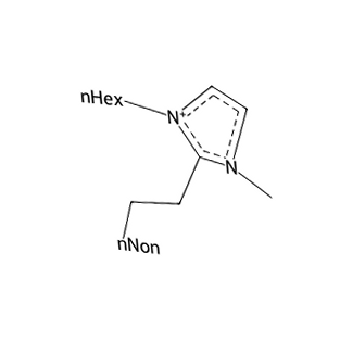 CCCCCCCCCCCc1n(C)cc[n+]1CCCCCC